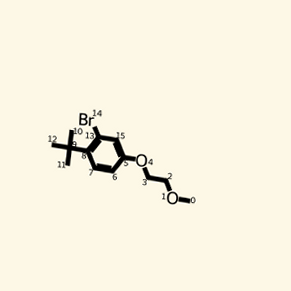 COCCOc1ccc(C(C)(C)C)c(Br)c1